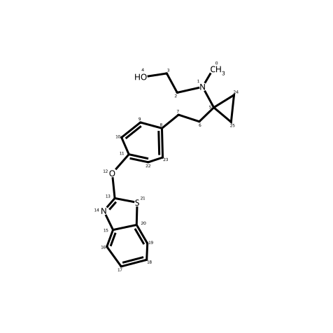 CN(CCO)C1(CCc2ccc(Oc3nc4ccccc4s3)cc2)CC1